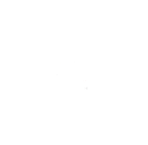 COc1cc2c[c]sc2cc1OC